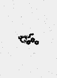 C=C/C=C\C=C/NC1C/C=C(\C)C(CC)CCCCN(c2cccc(-c3cccc([C@@H]4C=CCCC4)c3)c2)C1